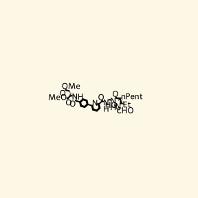 CCCCC[C@@H](C(=O)NCNC(=O)c1cccc(-c2ccc(C(=O)N[C@@H](CC(=O)OC)C(=O)OC)cc2)n1)[C@@H](CC)N(O)C=O